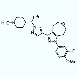 CCCC(C1CCN(C)CC1)n1cc(-c2nn(-c3cnc(OC)c(F)c3)c3c2CCOCC3)cn1